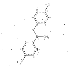 Cc1ccc(N(C)Cc2ccc(Cl)cc2)nc1